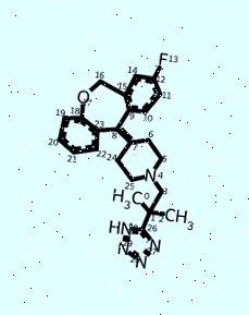 CC(C)(CN1CCC(=C2c3ccc(F)cc3COc3ccccc32)CC1)c1nnn[nH]1